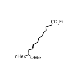 CCCCCCC(CC=CCCCCCCCC(=O)OCC)OC